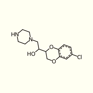 OC(CN1CCNCC1)C1COc2cc(Cl)ccc2O1